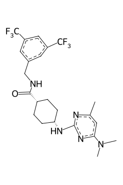 Cc1cc(N(C)C)nc(N[C@H]2CC[C@@H](C(=O)NCc3cc(C(F)(F)F)cc(C(F)(F)F)c3)CC2)n1